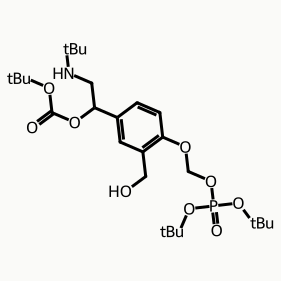 CC(C)(C)NCC(OC(=O)OC(C)(C)C)c1ccc(OCOP(=O)(OC(C)(C)C)OC(C)(C)C)c(CO)c1